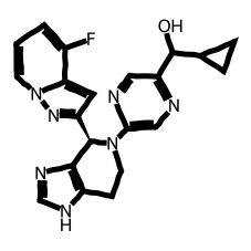 OC(c1cnc(N2CCc3[nH]cnc3[C@H]2c2cc3c(F)cccn3n2)cn1)C1CC1